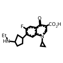 CCNC1CCC(c2cc3c(cc2F)c(=O)c(C(=O)O)cn3C2CC2)C1